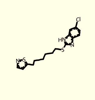 Clc1ccc2nc(SCCCCCCc3ccns3)[nH]c2c1